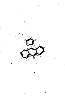 c1ccc2cc3ccccc3cc2c1.c1ccoc1